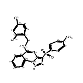 Cc1ccc(S(=O)(=O)c2nnn3c2nc(NCc2ccc(Cl)cc2Cl)c2ccccc23)cc1